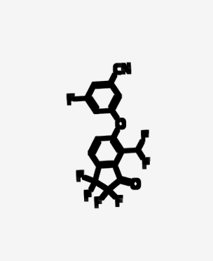 N#Cc1cc(F)cc(Oc2ccc3c(c2C(F)F)C(=O)C(F)(F)C3(F)F)c1